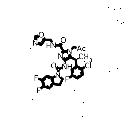 CC(=O)Cn1c(C(=O)NCc2cnco2)nc(NC(=O)N2CCc3cc(F)c(F)cc32)c1[C@@H](C)c1cc(F)ccc1Cl